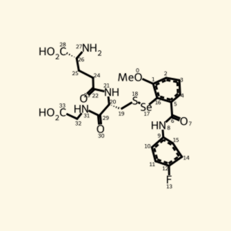 COc1cccc(C(=O)Nc2ccc(F)cc2)c1[Se]SC[C@@H](NC(=O)CC[C@@H](N)C(=O)O)C(=O)NCC(=O)O